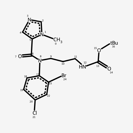 Cn1cncc1C(=O)N(CCCNC(=O)OC(C)(C)C)c1ccc(Cl)cc1Br